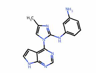 Cc1cn(-c2ncnc3[nH]ccc23)c(Nc2cccc(N)c2)n1